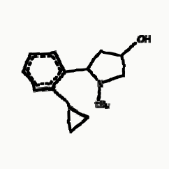 CC(C)(C)N1CC(O)CC1c1ccccc1C1CC1